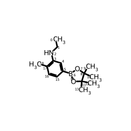 CCNc1cc(B2OC(C)(C)C(C)(C)O2)ccc1C